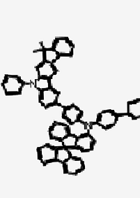 CC1(C)c2ccccc2-c2cc3c4cc(-c5ccc(N(c6ccc(-c7ccccc7)cc6)c6cccc7c6-c6ccccc6C76c7ccccc7-c7ccccc76)cc5)ccc4n(-c4ccccc4)c3cc21